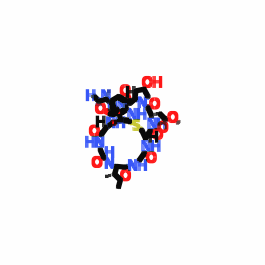 CC[C@H](C)[C@@H]1NC(=O)CNC(=O)[C@@H]2Cc3c([nH]c4ccc(N)cc34)SC[C@H](NC(=O)CNC1=O)C(=O)N[C@@H](CC(=O)OC)C(=O)N1C[C@H](O)C[C@H]1C(=O)N[C@@H]([C@@H](C)CC)C(=O)N2